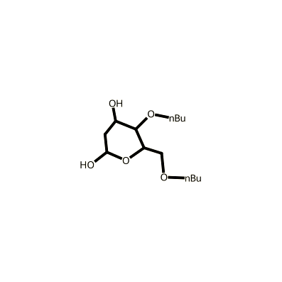 CCCCOCC1OC(O)CC(O)C1OCCCC